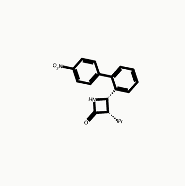 CC(C)[C@@H]1C(=O)N[C@@H]1c1ccccc1-c1ccc([N+](=O)[O-])cc1